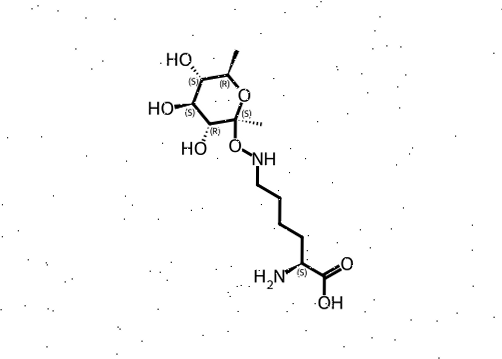 C[C@H]1O[C@@](C)(ONCCCC[C@H](N)C(=O)O)[C@H](O)[C@@H](O)[C@@H]1O